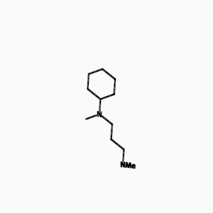 CNCCCN(C)C1CCCCC1